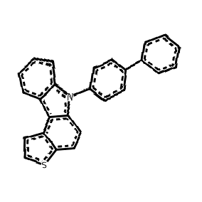 c1ccc(-c2ccc(-n3c4ccccc4c4c5ccsc5ccc43)cc2)cc1